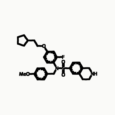 COc1ccc(CN(c2ccc(OCCC3CCCC3)cc2F)S(=O)(=O)c2ccc3c(c2)CCNC3)cc1